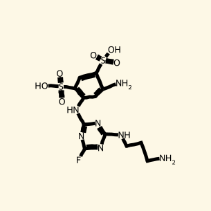 NCCCNc1nc(F)nc(Nc2cc(N)c(S(=O)(=O)O)cc2S(=O)(=O)O)n1